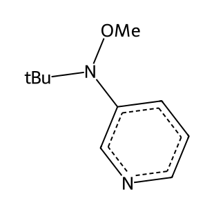 CON(c1cccnc1)C(C)(C)C